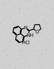 Cl.c1cc2c3c(cccc3c1)NC(C1CCCO1)=N2